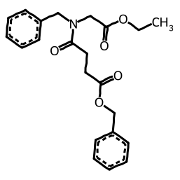 CCOC(=O)CN(Cc1ccccc1)C(=O)CCC(=O)OCc1ccccc1